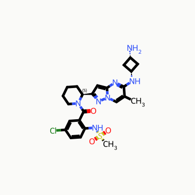 Cc1cn2nc([C@@H]3CCCCN3C(=O)c3cc(Cl)ccc3NS(C)(=O)=O)cc2nc1N[C@H]1C[C@@H](N)C1